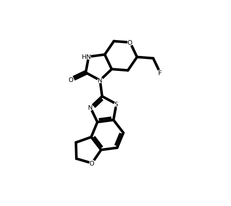 O=C1NC2COC(CF)CC2N1c1nc2c3c(ccc2s1)OCC3